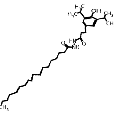 CCCCCCCCCCCCCCCCCC(=O)NNC(=O)CCc1cc(C(C)C)c(O)c(C(C)C)c1